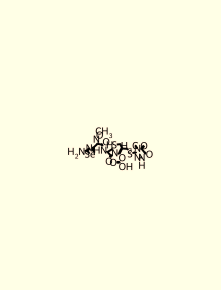 CO/N=C(\C(=O)N[C@@H]1C(=O)N2C(OC(=O)O)=C(CSc3n[nH]c(=O)c(=O)n3C)CS[C@H]12)c1c[se]c(N)n1